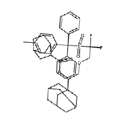 Cc1ccc(C(c2ccccc2)(c2ccccc2)S(=O)(=O)C(F)(F)COCC(OC(=O)C2CC3CCC2C3)C23CC4CC(CC(C4)C2)C3)cc1